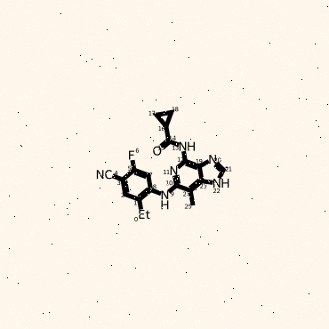 CCc1cc(C#N)c(F)cc1Nc1nc(NC(=O)C2CC2)c2nc[nH]c2c1C